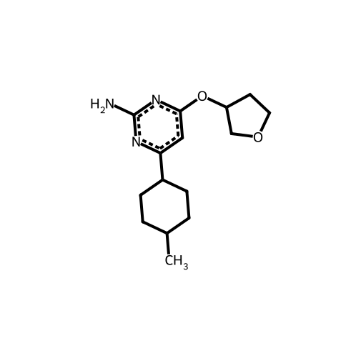 CC1CCC(c2cc(OC3CCOC3)nc(N)n2)CC1